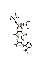 C=CC(=O)Nc1cc(Nc2ncc(Cl)c(Nc3ccccc3P(C)C)n2)c(OC)cc1C#CC1(N(C)C)CC1